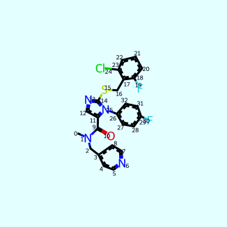 CN(Cc1ccncc1)C(=O)c1cnc(SCc2c(F)cccc2Cl)n1-c1ccc(F)cc1